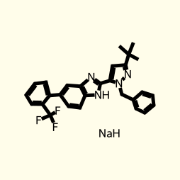 CC(C)(C)c1cc(-c2nc3cc(-c4ccccc4C(F)(F)F)ccc3[nH]2)n(Cc2ccccc2)n1.[NaH]